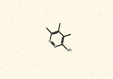 CCCc1nnc(C)c(C)c1C